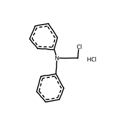 Cl.ClCN(c1ccccc1)c1ccccc1